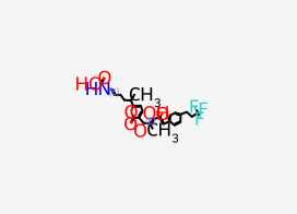 C/C(=C\c1cc2ccc(CCC(F)(F)F)cc2o1)C(=O)c1c(O)cc(C(C)CC/C=C/NC(=O)O)oc1=O